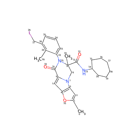 Cc1cc2c(cc3n2CC(C)(C(=O)NC2CCCCCC2)N(c2cccc(CI)c2C)C3=O)o1